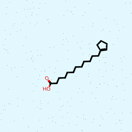 O=C(O)CCCCCCCCCCCC1=CCCC1